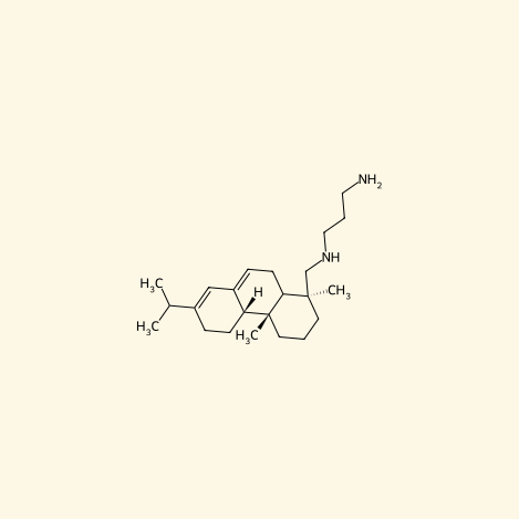 CC(C)C1=CC2=CCC3[C@@](C)(CNCCCN)CCC[C@]3(C)[C@@H]2CC1